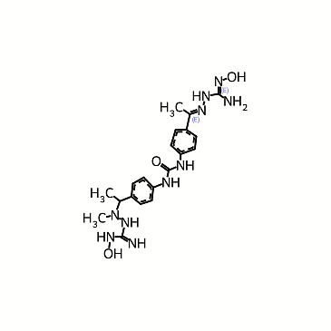 C/C(=N\N/C(N)=N/O)c1ccc(NC(=O)Nc2ccc(C(C)N(C)NC(=N)NO)cc2)cc1